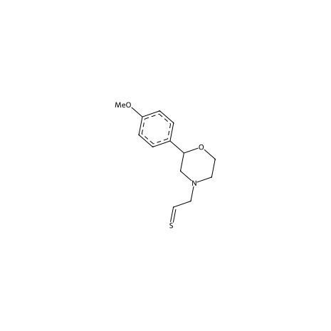 COc1ccc(C2CN(CC=S)CCO2)cc1